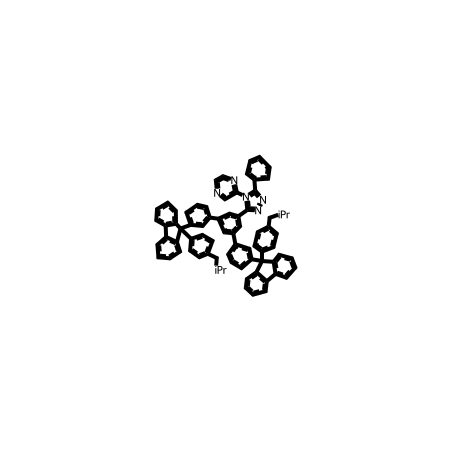 CC(C)Cc1ccc(C2(c3cccc(-c4cc(-c5cccc(C6(c7ccc(CC(C)C)cc7)c7ccccc7-c7ccccc76)c5)cc(-c5nnc(-c6ccccc6)n5-c5cnccn5)c4)c3)c3ccccc3-c3ccccc32)cc1